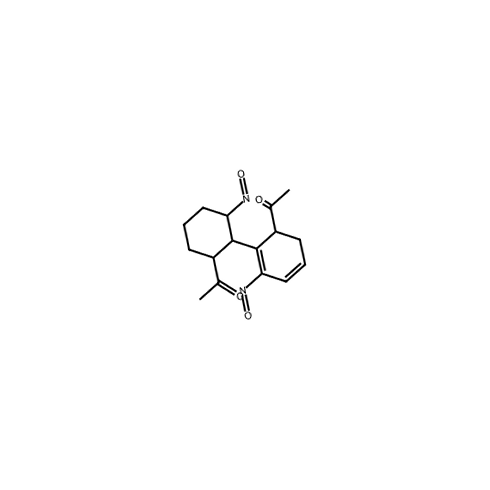 CC(=O)C1CC=CC(N=O)=C1C1C(N=O)CCCC1C(C)=O